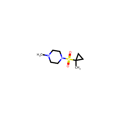 CN1CCN(S(=O)(=O)C2(C)CC2)CC1